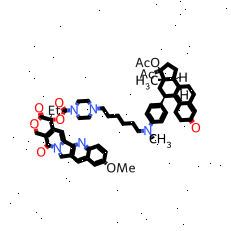 CC[C@@]1(OC(=O)N2CCN(CCCCCCN(C)c3ccc([C@H]4C[C@@]5(C)[C@@H](CC[C@]5(OC(C)=O)C(C)=O)[C@@H]5CCC6=CC(=O)CCC6=C54)cc3)CC2)C(=O)OCc2c1cc1n(c2=O)Cc2cc3cc(OC)ccc3nc2-1